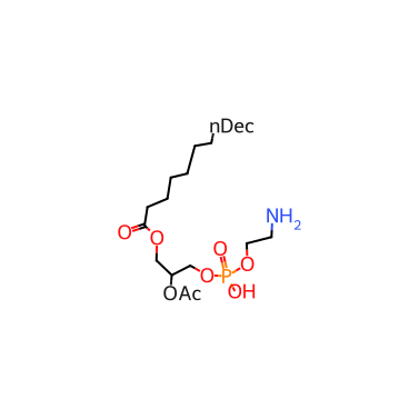 CCCCCCCCCCCCCCCCC(=O)OCC(COP(=O)(O)OCCN)OC(C)=O